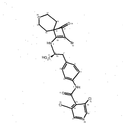 O=C(Nc1ccc(C[C@H](NC2=C(Br)C(=O)C23CCOCC3)C(=O)O)cc1)c1c(Cl)cncc1Cl